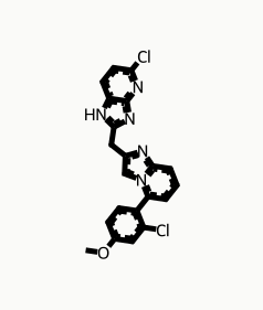 COc1ccc(-c2cccc3nc(Cc4nc5nc(Cl)ccc5[nH]4)cn23)c(Cl)c1